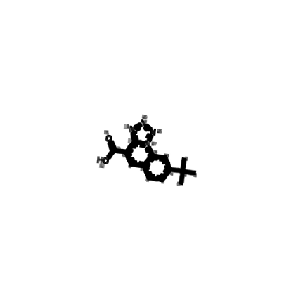 CC(C)(C)c1ccc2cc(C(=O)O)c3nnnn3c2c1